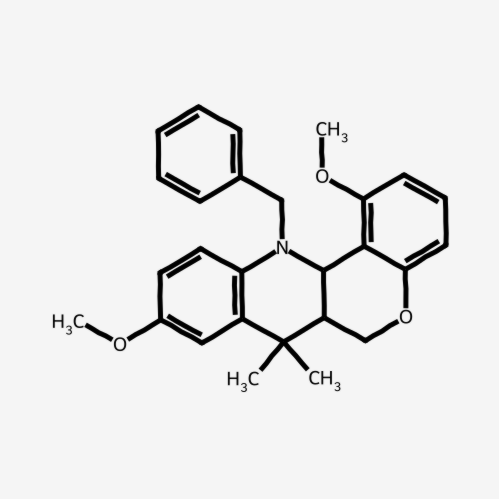 COc1ccc2c(c1)C(C)(C)C1COc3cccc(OC)c3C1N2Cc1ccccc1